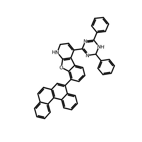 C1=C(C2=NC(c3ccccc3)NC(c3ccccc3)=N2)c2c(oc3c(-c4cc5ccc6ccccc6c5c5ccccc45)cccc23)NC1